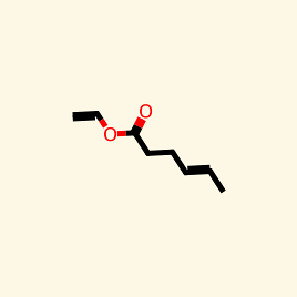 C=COC(=O)CCC=CC